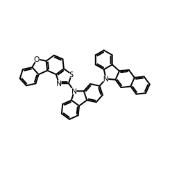 c1ccc2cc3c(cc2c1)c1ccccc1n3-c1ccc2c3ccccc3n(-c3nc4c(ccc5oc6ccccc6c54)s3)c2c1